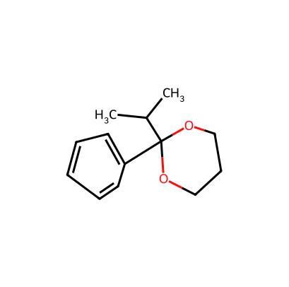 CC(C)C1(c2ccccc2)OCCCO1